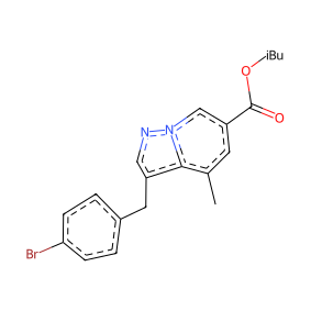 CCC(C)OC(=O)c1cc(C)c2c(Cc3ccc(Br)cc3)cnn2c1